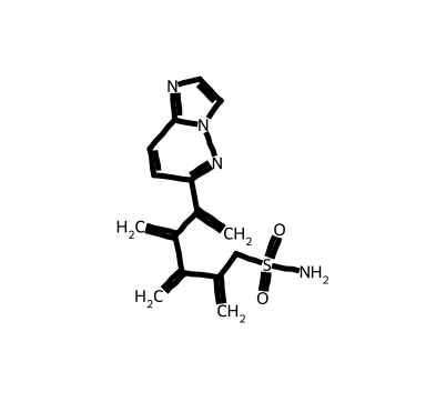 C=C(CS(N)(=O)=O)C(=C)C(=C)C(=C)c1ccc2nccn2n1